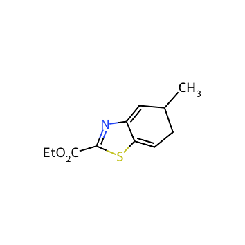 CCOC(=O)c1nc2c(s1)=CCC(C)C=2